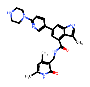 Cc1cc(C)c(CNC(=O)c2cc(-c3ccc(N4CCNCC4)nc3)cc3[nH]cc(C)c23)c(=O)[nH]1